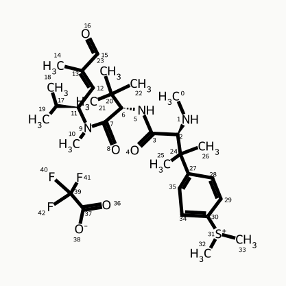 CN[C@H](C(=O)N[C@H](C(=O)N(C)[C@H](/C=C(\C)C=O)C(C)C)C(C)(C)C)C(C)(C)c1ccc([S+](C)C)cc1.O=C([O-])C(F)(F)F